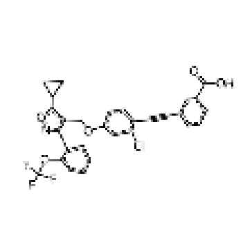 O=C(O)c1cccc(C#Cc2ccc(OCc3c(-c4ccccc4OC(F)(F)F)noc3C3CC3)cc2Cl)c1